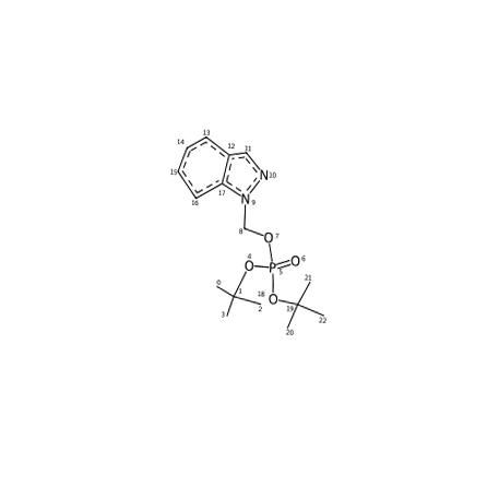 CC(C)(C)OP(=O)(OCn1ncc2ccccc21)OC(C)(C)C